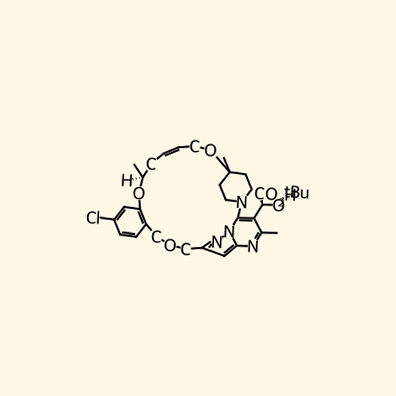 Cc1nc2cc3nn2c(c1[C@H](OC(C)(C)C)C(=O)O)N1CCC(C)(CC1)OCC=CC[C@H](C)Oc1cc(Cl)ccc1COC3